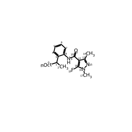 CCCCCCCCC(C)c1ccccc1NC(=O)c1c(C)nn(C)c1F